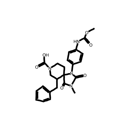 COC(=O)Nc1ccc(N2C(=O)N(C)C(=O)C23CCN(C(=O)O)CC3Cc2ccccc2)cc1